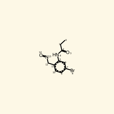 CCC(=O)Nc1cc(Br)ccc1CN=O